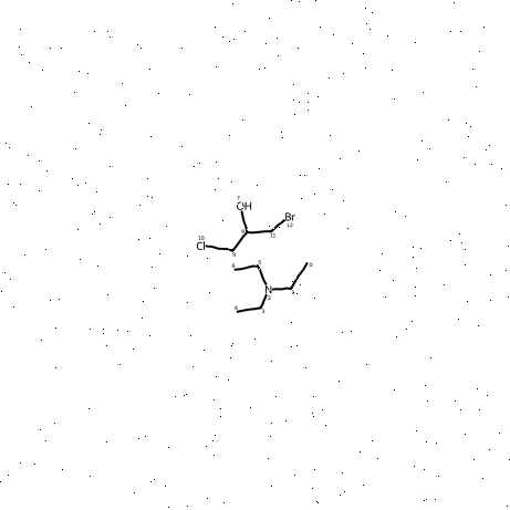 CCN(CC)CC.OC(CCl)CBr